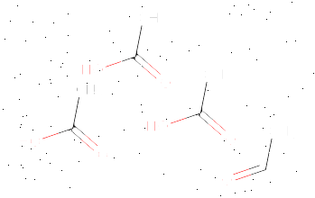 CC(=O)O.CC(=O)O.CC(=O)O.CC=O